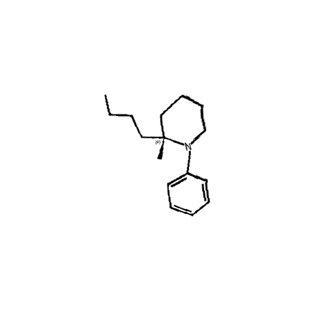 CCCC[C@]1(C)CCCCN1c1ccccc1